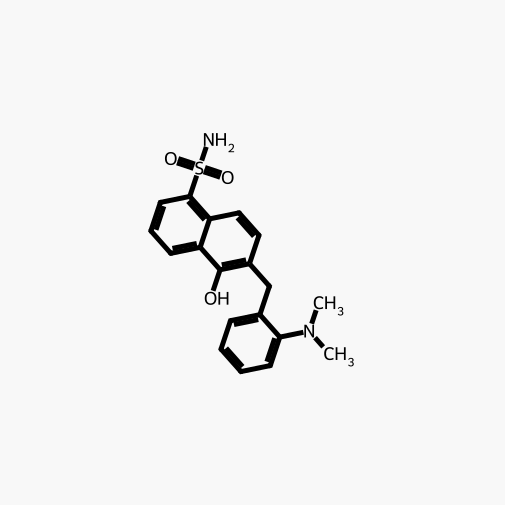 CN(C)c1ccccc1Cc1ccc2c(S(N)(=O)=O)cccc2c1O